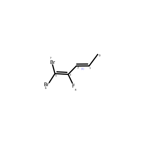 C/C=C/C(F)=C(Br)Br